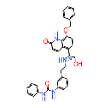 O=C(Nc1ccccc1)Nc1cccc(CCN[C@H](CO)c2ccc(OCc3ccccc3)c3[nH]c(=O)ccc23)c1